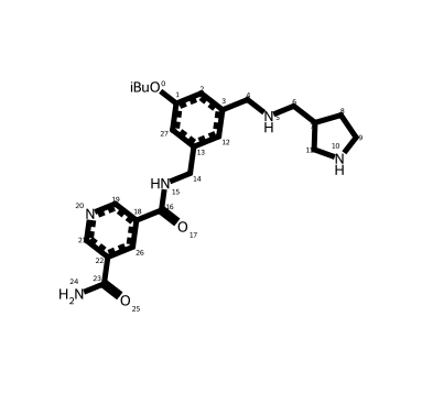 CC(C)COc1cc(CNCC2CCNC2)cc(CNC(=O)c2cncc(C(N)=O)c2)c1